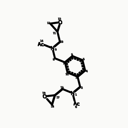 CC(=O)N(Cc1cccc(CN(CC2CO2)C(C)=O)c1)CC1CO1